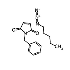 CCCCCN=[N+]=[N-].O=C1C=CC(=O)N1Cc1ccccc1